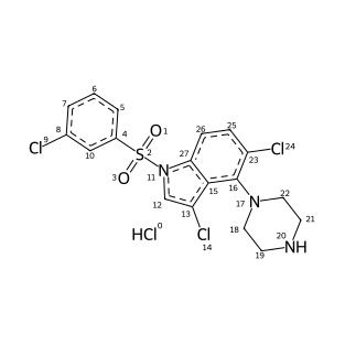 Cl.O=S(=O)(c1cccc(Cl)c1)n1cc(Cl)c2c(N3CCNCC3)c(Cl)ccc21